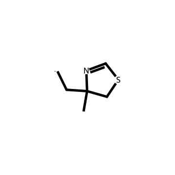 [CH2]CC1(C)CSC=N1